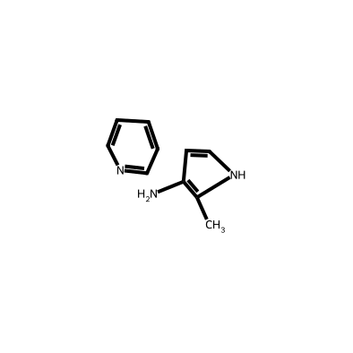 Cc1[nH]ccc1N.c1ccncc1